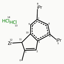 CC1=Cc2c(C(C)C)cc(C(C)C)cc2[CH]1[Zr].Cl.Cl